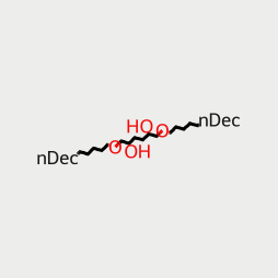 CCCCCCCCCCCCCCCOC[C@H](O)CC[C@H](O)COCCCCCCCCCCCCCCC